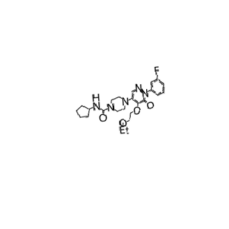 CCOCCOc1c(N2CCN(C(=O)NC3CCCC3)CC2)cnn(-c2cccc(F)c2)c1=O